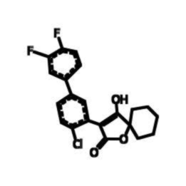 O=C1OC2(CCCCC2)C(O)=C1c1cc(-c2ccc(F)c(F)c2)ccc1Cl